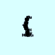 CN(CC1CCC(Nc2ccc(N(O)O)c(C(F)(F)F)c2)CC1)C(=O)N1CCN(c2ccc(C(C)(C)C)cc2)CC1